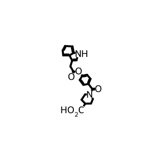 O=C(Cc1c[nH]c2ccccc12)Oc1ccc(C(=O)N2CCC(C(=O)O)CC2)cc1